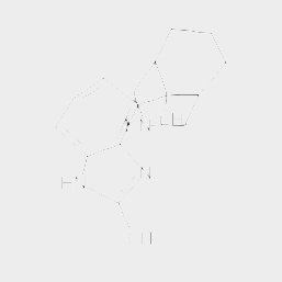 Cc1nc2c(C3(C)C4CCCC3CNC4)cccc2[nH]1